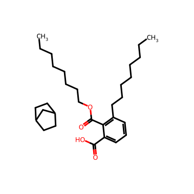 C1CC2CCC1C2.CCCCCCCCOC(=O)c1c(CCCCCCCC)cccc1C(=O)O